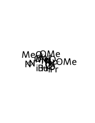 CCC(C)C(OC(=O)N(c1ccnc(Nc2cc(OC)c(OC)c(OCCCN3CCN(C)CC3)c2)n1)c1ccc(OC)cc1OC)C(C)C